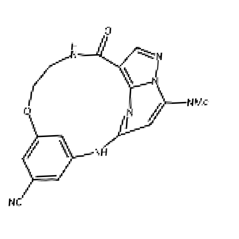 CNc1cc2nc3c(cnn13)C(=O)NCCOc1cc(C#N)cc(c1)N2